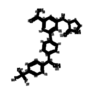 NC(=O)c1cc(N[C@H]2CCNC2=O)nc(-c2ccc(C(O)c3ccc(C(F)(F)F)cn3)cc2)n1